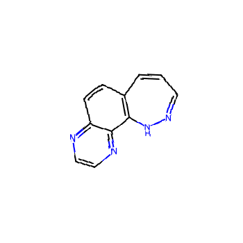 C1=Cc2ccc3nccnc3c2NN=C1